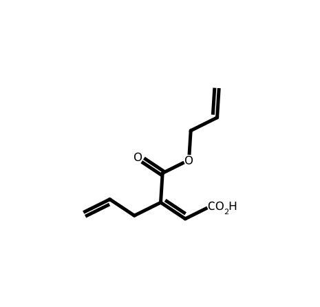 C=CCOC(=O)C(=CC(=O)O)CC=C